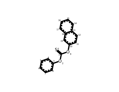 S=C(Oc1ccccc1)Oc1ccc2ccccc2c1